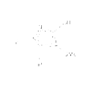 CSc1c(S)nn(C)c1C(C)C